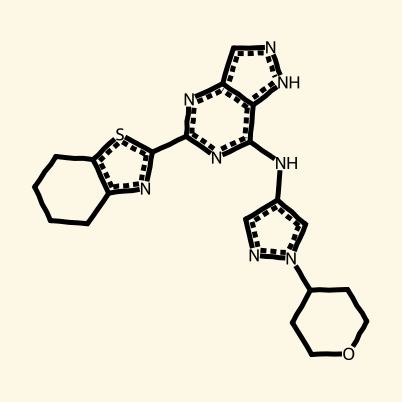 c1nn(C2CCOCC2)cc1Nc1nc(-c2nc3c(s2)CCCC3)nc2cn[nH]c12